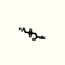 CCCCC(CC)CC12OC1(CN)O2